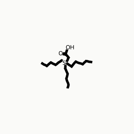 CCCCC[Si](CCCCC)(CCCCC)CC(=O)O